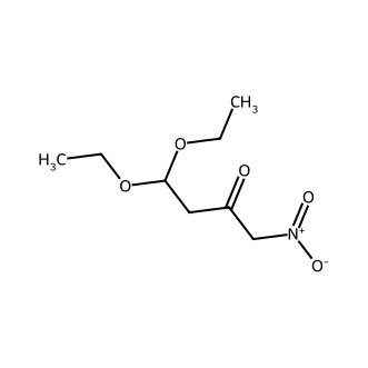 CCOC(CC(=O)C[N+](=O)[O-])OCC